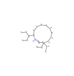 CCC(CC)C1CCCCCCCCC(CC)(CC)C=N1